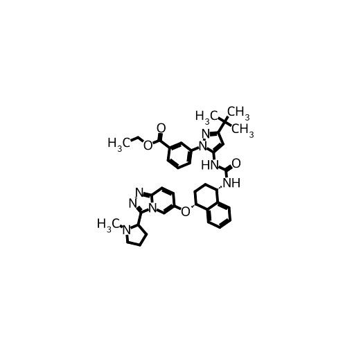 CCOC(=O)c1cccc(-n2nc(C(C)(C)C)cc2NC(=O)N[C@H]2CC[C@@H](Oc3ccc4nnc(C5CCCN5C)n4c3)c3ccccc32)c1